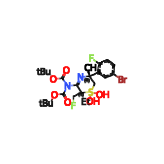 [CH2]C[C@]1(CF)C(N(C(=O)OC(C)(C)C)C(=O)OC(C)(C)C)=N[C@](C)(c2cc(Br)ccc2F)CS1(O)O